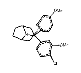 COc1ccc(CN2C3CCC2CC(O)(c2ccc(Cl)c(OC)c2)C3)cc1